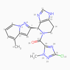 Cc1cccn2nc([C@H]3c4nc[nH]c4CCN3C(=O)c3nc(Cl)nn3C)cc12